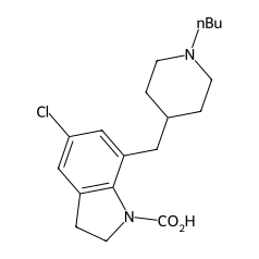 CCCCN1CCC(Cc2cc(Cl)cc3c2N(C(=O)O)CC3)CC1